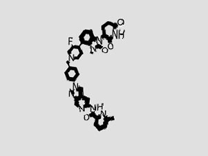 Cc1cccc(C(=O)Nc2cc3cn([C@H]4CC[C@H](CN5CC[C@H](c6cccc7c6n(C)c(=O)n7C6CCC(=O)NC6=O)[C@@H](F)C5)CC4)nc3cn2)n1